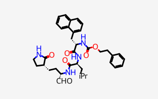 CC(C)C[C@H](NC(=O)[C@H](Cc1cccc2ccccc12)NC(=O)OCCc1ccccc1)C(=O)N[C@H](C=O)CC[C@@H]1CCNC1=O